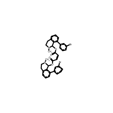 CN1CCc2cccc(-c3cccc(Br)c3)c2C1OC(=O)/C=C\C(=O)OC1c2c(cccc2-c2cccc(Br)c2)CCN1C